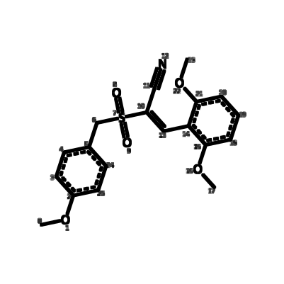 COc1ccc(CS(=O)(=O)C(C#N)=Cc2c(OC)cccc2OC)cc1